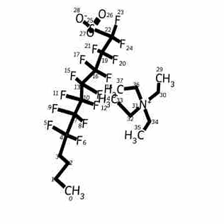 CCCCC(F)(F)C(F)(F)C(F)(F)C(F)(F)C(F)(F)C(F)(F)C(F)(F)S(=O)(=O)[O-].CC[N+](CC)(CC)CC